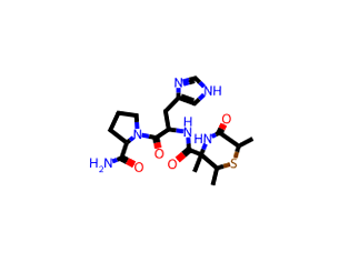 CC1SC(C)C(C)(C(=O)NC(Cc2c[nH]cn2)C(=O)N2CCCC2C(N)=O)NC1=O